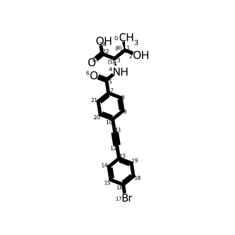 C[C@@H](O)[C@H](NC(=O)c1ccc(C#Cc2ccc(Br)cc2)cc1)C(=O)O